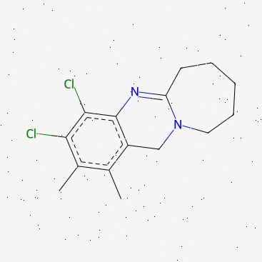 Cc1c(C)c2c(c(Cl)c1Cl)N=C1CCCCCN1C2